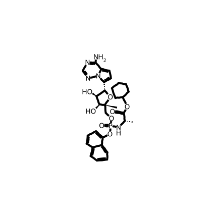 C[C@H](NP(=O)(OC[C@@]1(C)O[C@@H](c2ccc3c(N)ncnn23)[C@H](O)[C@@H]1O)Oc1cccc2ccccc12)C(=O)OC1CCCCC1